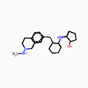 CNN1CCc2ccc(CC3CCCCC3NC3CCCC3O)cc2C1